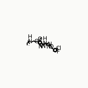 [CH2]CC(C)(C)NCCCOc1cc2ncnc(Nc3cnc(OCc4ccc(F)c(Cl)c4)nc3)c2cc1OC